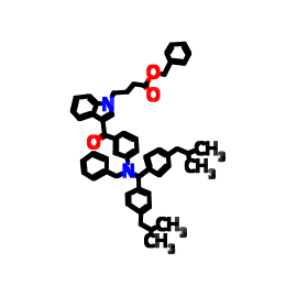 CC(C)Cc1ccc(C(c2ccc(CC(C)C)cc2)N(Cc2ccccc2)c2cccc(C(=O)c3cn(CCCC(=O)OCc4ccccc4)c4ccccc34)c2)cc1